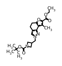 CCOC(=O)c1oc2c(c1C)-c1nn(CC3CN(C(=O)OC(C)(C)C)C3)cc1CC2